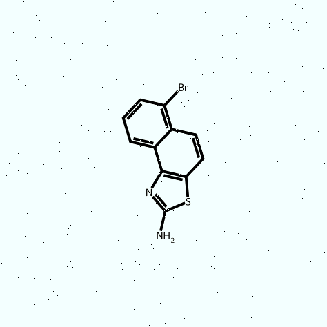 Nc1nc2c(ccc3c(Br)cccc32)s1